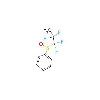 [O-][S+](c1cc[c]cc1)C(F)(F)C(F)(F)C(F)(F)F